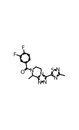 Cc1nsc(-c2nnc3n2CCN(C(=O)c2ccc(F)c(F)c2)C3C)n1